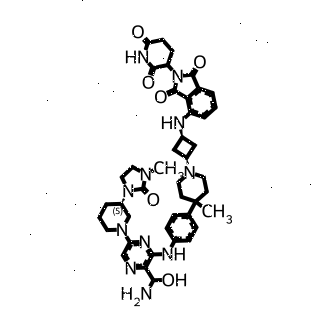 CN1CCN([C@H]2CCCN(c3cnc(C(N)O)c(Nc4ccc(C5(C)CCN([C@H]6C[C@H](Nc7cccc8c7C(=O)N(C7CCC(=O)NC7=O)C8=O)C6)CC5)cc4)n3)C2)C1=O